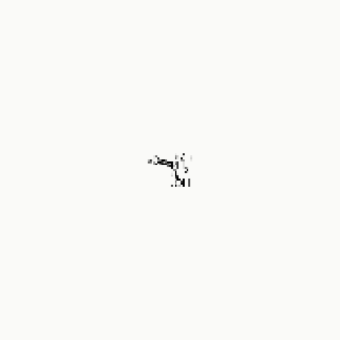 O=[PH2]O.[Zn]